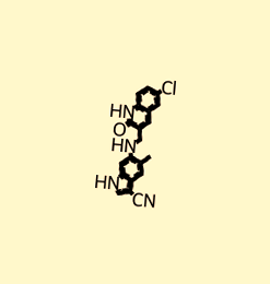 Cc1cc2c(C#N)c[nH]c2cc1NCc1cc2cc(Cl)ccc2[nH]c1=O